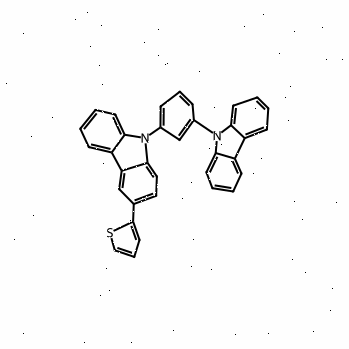 c1cc(-n2c3ccccc3c3ccccc32)cc(-n2c3ccccc3c3cc(-c4cccs4)ccc32)c1